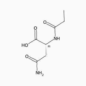 CCC(=O)N[C@H](CC(N)=O)C(=O)O